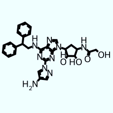 Nc1cnn(-c2nc(NCC(c3ccccc3)c3ccccc3)c3ncn(C4CC(NC(=O)CO)C(O)C4O)c3n2)c1